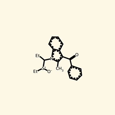 CCC(n1c(C)c(C(=O)c2ccccc2)c2ccccc21)[S+]([O-])CC